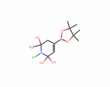 BC1(O)CC(B2OC(C)(C)C(C)(C)O2)=CC(O)(O)N1Br